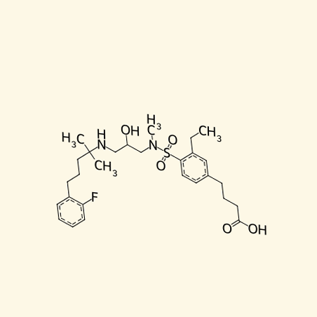 CCc1cc(CCCC(=O)O)ccc1S(=O)(=O)N(C)CC(O)CNC(C)(C)CCCc1ccccc1F